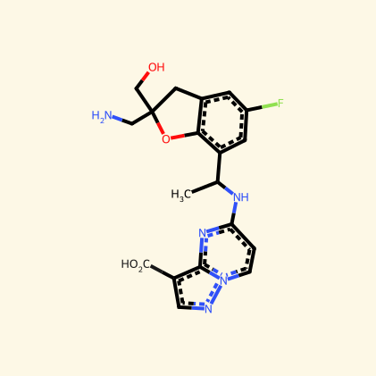 CC(Nc1ccn2ncc(C(=O)O)c2n1)c1cc(F)cc2c1OC(CN)(CO)C2